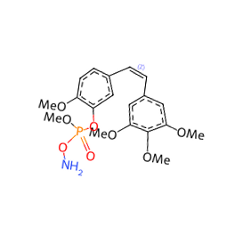 COc1ccc(/C=C\c2cc(OC)c(OC)c(OC)c2)cc1OP(=O)(OC)ON